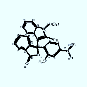 CCCCCCCCn1c(C)c(C2(c3ccc(N(CC)CC)cc3C)OC(=O)c3ccccc32)c2ccccc21